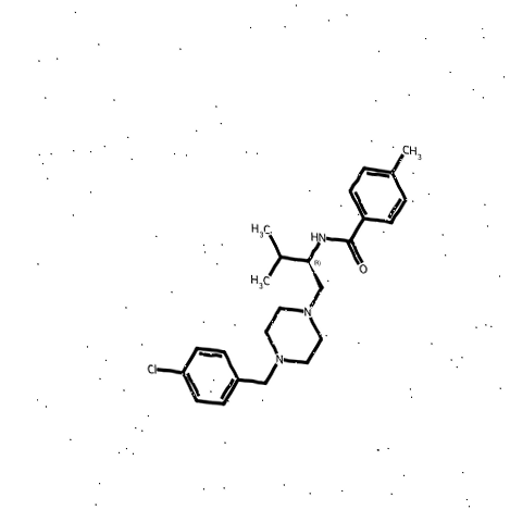 Cc1ccc(C(=O)N[C@@H](CN2CCN(Cc3ccc(Cl)cc3)CC2)C(C)C)cc1